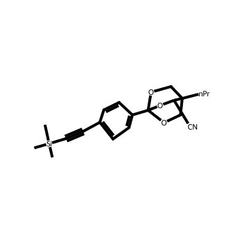 CCCC12COC(c3ccc(C#C[Si](C)(C)C)cc3)(OC1)OC2C#N